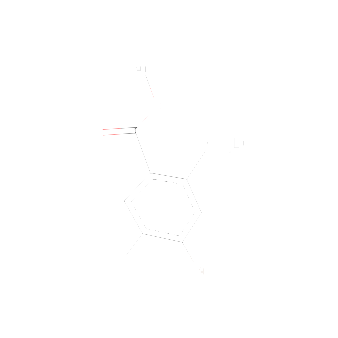 CCOC(=O)c1cc(Br)c(CC)cc1C(=O)OC(C)(C)C